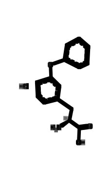 Cl.N[C@@H](Cc1cccc(Oc2ccccc2)c1)C(=O)O